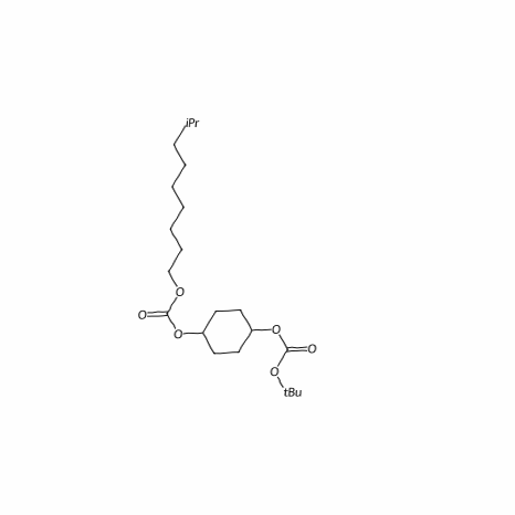 CC(C)CCCCCCCOC(=O)OC1CCC(OC(=O)OC(C)(C)C)CC1